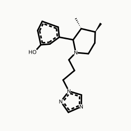 C[C@H]1CCN(CCCn2cncn2)C(c2cccc(O)c2)[C@@H]1C